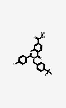 O=C(NO)c1ccc2c(=O)n(Cc3ccc(C(F)(F)F)cc3)c(-c3ccc(Cl)cc3)nc2c1